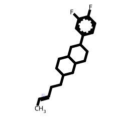 C/C=C/CCC1CCC2CC(c3ccc(F)c(F)c3)CCC2C1